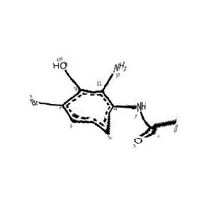 CC(=O)Nc1ccc(Br)c(O)c1N